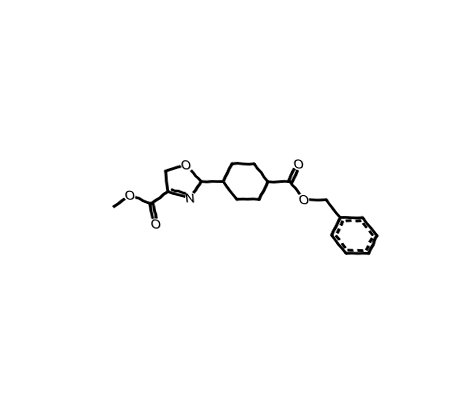 COC(=O)C1=NC(C2CCC(C(=O)OCc3ccccc3)CC2)OC1